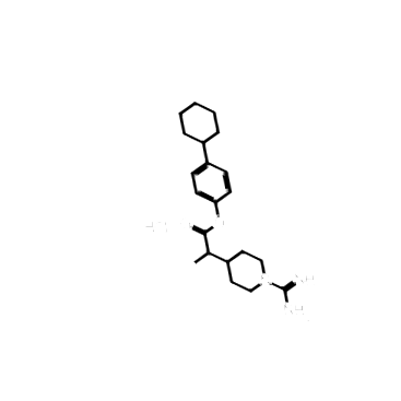 CC(C(=O)Oc1ccc(C2CCCCC2)cc1)C1CCN(C(=N)N)CC1.Cl